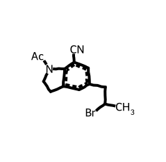 CC(=O)N1CCc2cc(CC(C)Br)cc(C#N)c21